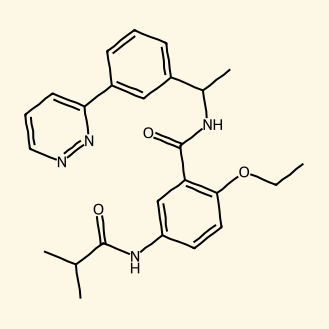 CCOc1ccc(NC(=O)C(C)C)cc1C(=O)NC(C)c1cccc(-c2cccnn2)c1